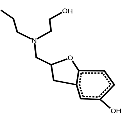 CCCN(CCO)CC1Cc2cc(O)ccc2O1